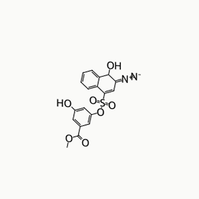 COC(=O)c1cc(O)cc(OS(=O)(=O)C2=CC(=[N+]=[N-])C(O)c3ccccc32)c1